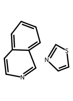 c1ccc2cnccc2c1.c1cscn1